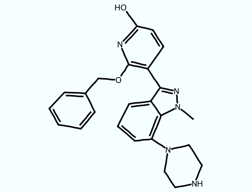 Cn1nc(-c2ccc(O)nc2OCc2ccccc2)c2cccc(N3CCNCC3)c21